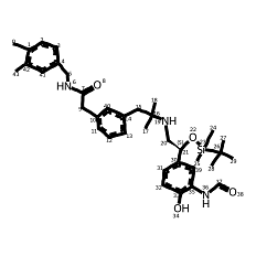 Cc1ccc(CNC(=O)Cc2cccc(CC(C)(C)NC[C@@H](O[Si](C)(C)C(C)(C)C)c3ccc(O)c(NC=O)c3)c2)cc1C